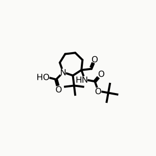 CC(C)(C)OC(=O)NC1(C=O)CCCCN(C(=O)O)C1C(C)(C)C